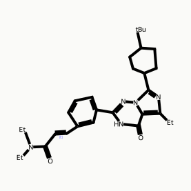 CCc1nc(C2CCC(C(C)(C)C)CC2)n2nc(-c3cccc(/C=C/C(=O)N(CC)CC)c3)[nH]c(=O)c12